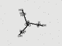 O=C(NCCCO)NCCCCCCCCn1c(=O)n(CCCCCCCCNC(=O)NCCCO)c(=O)n(CCCCCCCCNC(=O)NCCCO)c1=O